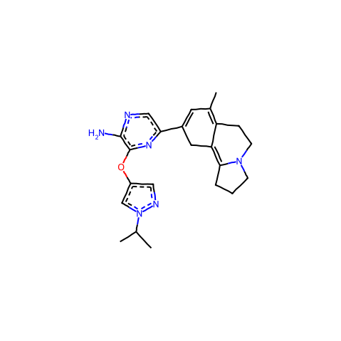 CC1=C2CCN3CCCC3=C2CC(c2cnc(N)c(Oc3cnn(C(C)C)c3)n2)=C1